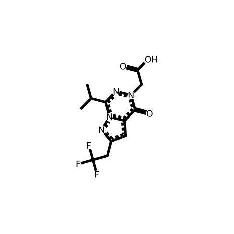 CC(C)c1nn(CC(=O)O)c(=O)c2cc(CC(F)(F)F)nn12